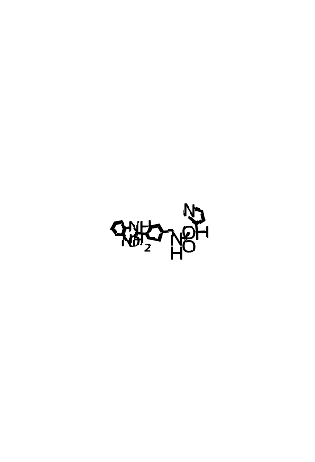 CC(I)(OC(=O)NCc1ccc(C(=O)Nc2ccccc2N)cc1)c1cccnc1